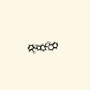 CC1(N2CCc3ccccc3C2Cl)CCc2nc(-c3ccccc3Cl)[nH]c2C1